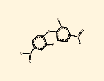 O=[N+]([O-])c1ccc(Sc2ccc([N+](=O)[O-])cc2F)c(F)c1